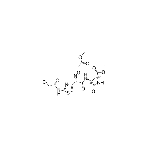 COC(=O)CON=C(C(=O)N[C@@H]1C(=O)N[C@@H]1C(=O)OC)c1csc(NC(=O)CCl)n1